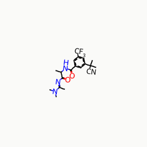 C/C(=N\C(=O)C(C)NC(=O)c1cc(C(F)(F)F)cc(C(C)(C)C#N)c1)N(C)C